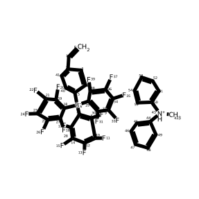 C=Cc1ccc([B-](c2c(F)c(F)c(F)c(F)c2F)(c2c(F)c(F)c(F)c(F)c2F)c2c(F)c(F)c(F)c(F)c2F)cc1.C[NH+](c1ccccc1)c1ccccc1